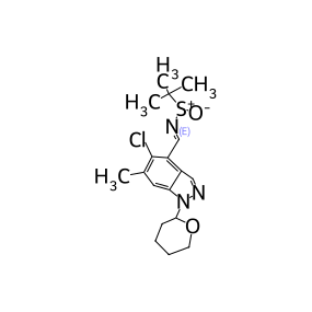 Cc1cc2c(cnn2C2CCCCO2)c(/C=N/[S+]([O-])C(C)(C)C)c1Cl